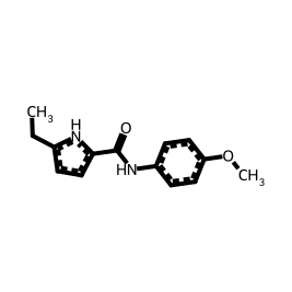 CCc1ccc(C(=O)Nc2ccc(OC)cc2)[nH]1